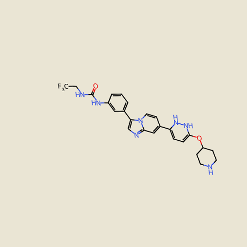 O=C(NCC(F)(F)F)Nc1cccc(-c2cnc3cc(C4=CC=C(OC5CCNCC5)NN4)ccn23)c1